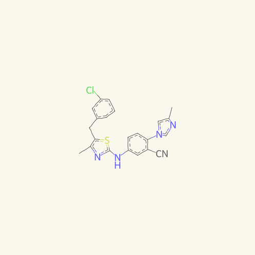 Cc1cn(-c2ccc(Nc3nc(C)c(Cc4cccc(Cl)c4)s3)cc2C#N)cn1